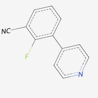 N#Cc1cccc(-c2ccncc2)c1F